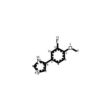 COc1ccc(-c2cscn2)cc1F